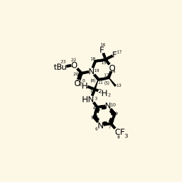 [2H]C([2H])(Nc1cnc(C(F)(F)F)cn1)[C@@H]1[C@H](C)OC(F)(F)CN1C(=O)OC(C)(C)C